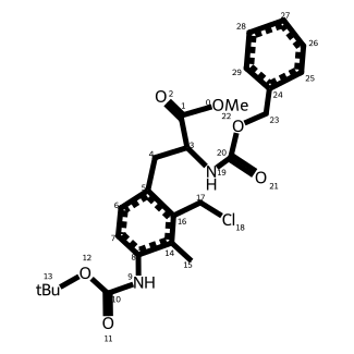 COC(=O)C(Cc1ccc(NC(=O)OC(C)(C)C)c(C)c1CCl)NC(=O)OCc1ccccc1